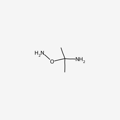 CC(C)(N)ON